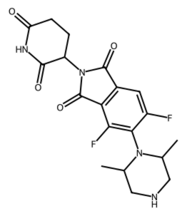 CC1CNCC(C)N1c1c(F)cc2c(c1F)C(=O)N(C1CCC(=O)NC1=O)C2=O